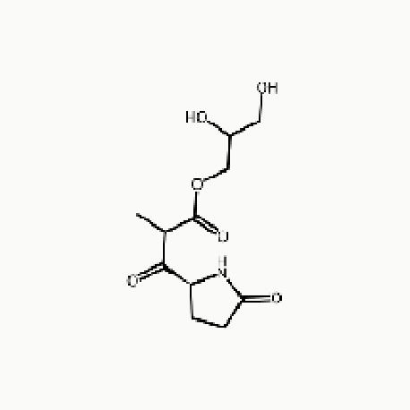 CC(C(=O)OCC(O)CO)C(=O)[C@@H]1CCC(=O)N1